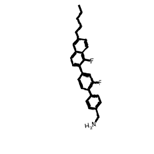 CCCCCc1ccc2c(F)c(-c3ccc(-c4ccc(CN)cc4)c(F)c3)ccc2c1